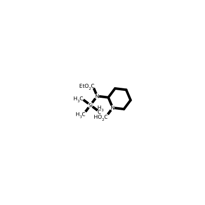 CCOC(=O)N(C1CCCCN1C(=O)O)[Si](C)(C)C